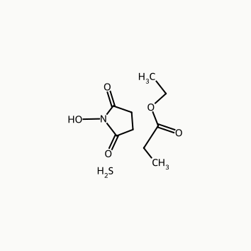 CCOC(=O)CC.O=C1CCC(=O)N1O.S